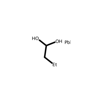 CCCC(O)O.[Pb]